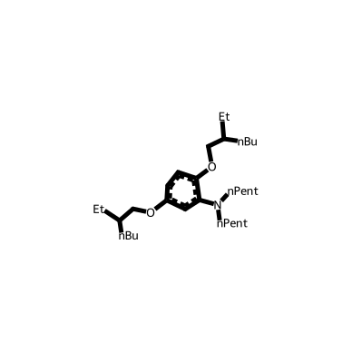 CCCCCN(CCCCC)c1cc(OCC(CC)CCCC)ccc1OCC(CC)CCCC